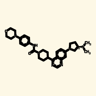 CN(C)[C@@H]1CCN(c2ccc3c(C4CCN(C(=O)Nc5ccc(N6CCOCC6)cc5)CC4)ncnc3c2)C1